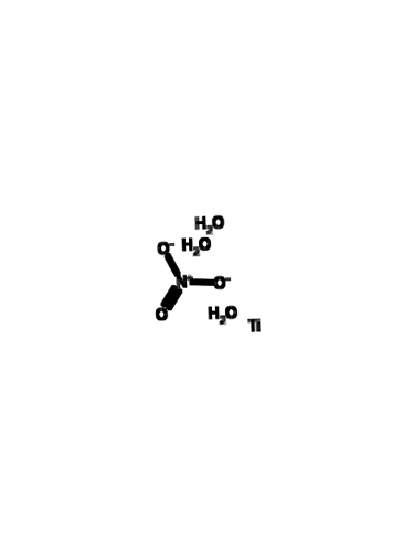 O.O.O.O=[N+]([O-])[O-].[Ti]